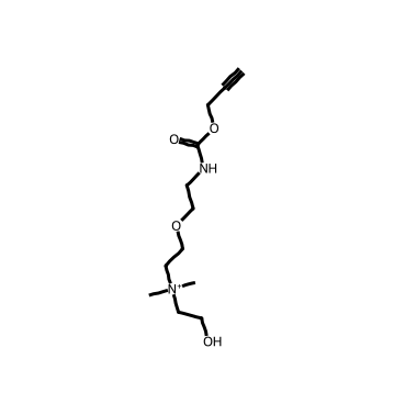 C#CCOC(=O)NCCOCC[N+](C)(C)CCO